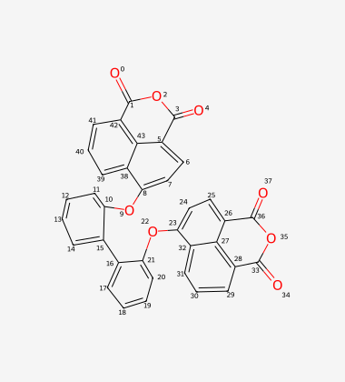 O=C1OC(=O)c2ccc(Oc3ccccc3-c3ccccc3Oc3ccc4c5c(cccc35)C(=O)OC4=O)c3cccc1c23